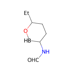 CCC1CCC(NC=O)BO1